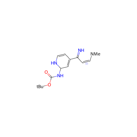 CN/C=C\C(=N)C1=CC(NC(=O)OC(C)(C)C)NC=C1